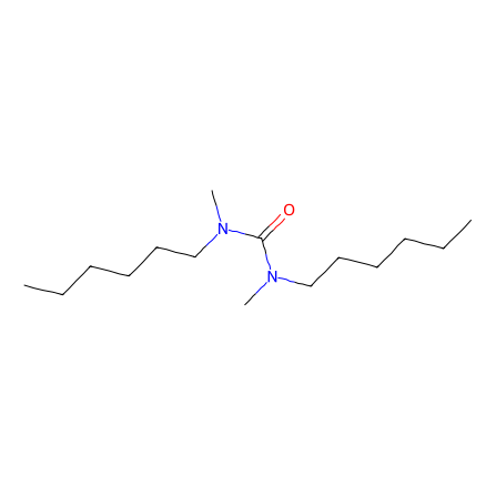 CCCCCCN(C)C(=O)N(C)CCCCCC